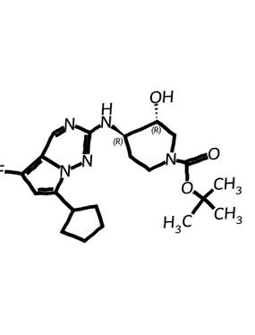 CC(C)(C)OC(=O)N1CC[C@@H](Nc2ncc3c(F)cc(C4CCCC4)n3n2)[C@H](O)C1